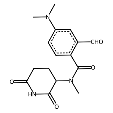 CN(C)c1ccc(C(=O)N(C)C2CCC(=O)NC2=O)c(C=O)c1